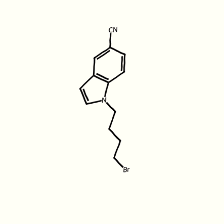 N#Cc1ccc2c(ccn2CCCCBr)c1